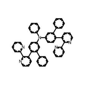 c1ccc(-c2cc(N(c3ccccc3)c3ccc(-c4cccnc4-c4ccccn4)c(-c4ccccc4)c3)ccc2-c2cccnc2-c2ccccn2)cc1